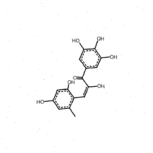 Cc1cc(O)cc(O)c1/C=C(/O)C(=O)c1cc(O)c(O)c(O)c1